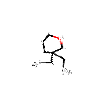 O=C(O)CC1(C[N+](=O)[O-])CCCOC1